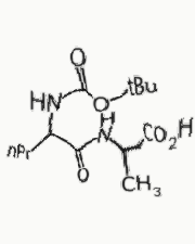 CCCC(NC(=O)OC(C)(C)C)C(=O)NC(C)C(=O)O